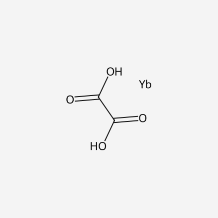 O=C(O)C(=O)O.[Yb]